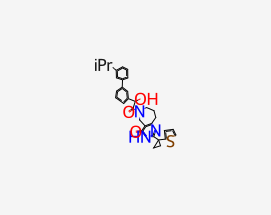 CC(C)c1cccc(-c2cccc(C(O)C(=O)N3CCCc4nc(C5(c6cccs6)CC5)[nH]c(=O)c4C3)c2)c1